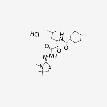 CC(C)CC(NC(=O)C1CCCCC1)C(=O)C(=O)NN=C1SCC(C)(C)N1C.Cl